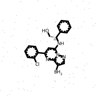 Bc1cnn2c(N[C@H](CO)c3ccccc3)cc(-c3ccccc3Cl)nc12